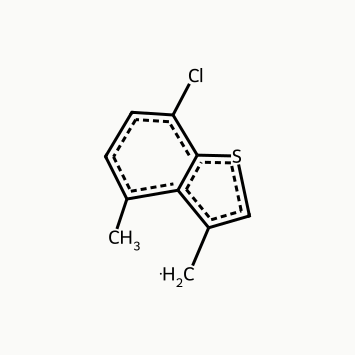 [CH2]c1csc2c(Cl)ccc(C)c12